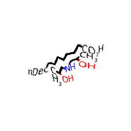 CC(O)CNCC(C)O.CCCCCCCCCCCCCCCCCC(=O)O